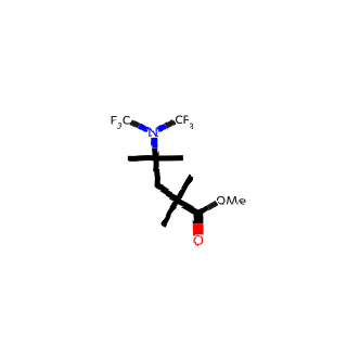 COC(=O)C(C)(C)CC(C)(C)N(C(F)(F)F)C(F)(F)F